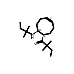 CCC(C)(C)N[C@H]1CC/C=C\CC[C@H]1C(=O)C(C)(C)CC